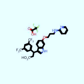 O=C(O)C(F)(F)F.O=C(O)CC(c1cc(C(F)(F)F)cc(C(F)(F)F)c1)c1c[nH]c2cc(OCCCNc3ccccn3)ccc12